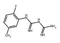 Cc1ccc(F)c(NC(=N)NC(=N)N)c1